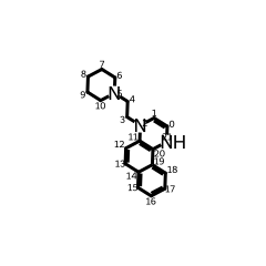 C1=CN(CCN2CCCCC2)c2ccc3ccccc3c2N1